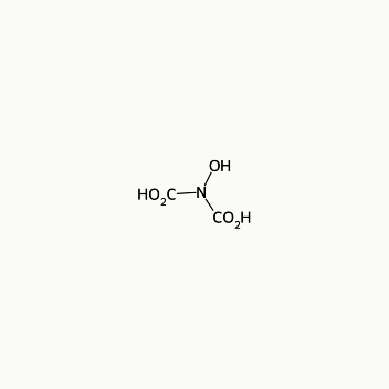 O=C(O)N(O)C(=O)O